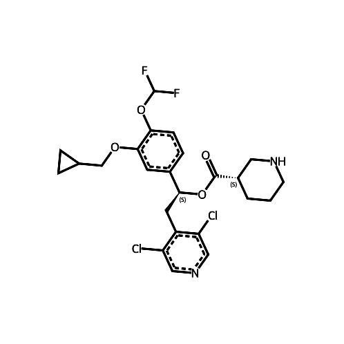 O=C(O[C@@H](Cc1c(Cl)cncc1Cl)c1ccc(OC(F)F)c(OCC2CC2)c1)[C@H]1CCCNC1